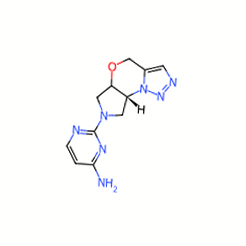 Nc1ccnc(N2CC3OCc4cnnn4[C@@H]3C2)n1